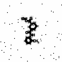 Cc1ccccc1NC(=O)C1=CCCN(C(=O)OC(C)(C)C)C1